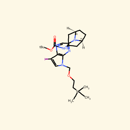 CC(C)(C)OC(=O)NC1C[C@H]2CC[C@@H](C1)N2c1cnc2c(I)cn(COCC[Si](C)(C)C)c2n1